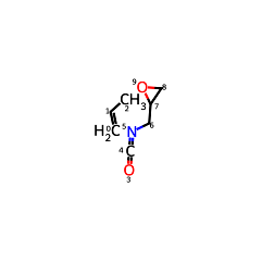 C=CC.O=C=NCC1CO1